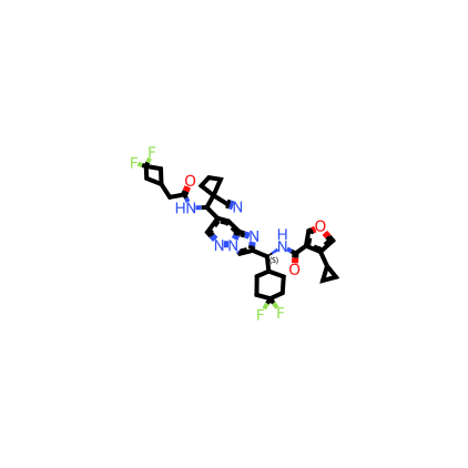 N#CC1(C(NC(=O)CC2CC(F)(F)C2)c2cnn3cc([C@@H](NC(=O)c4cocc4C4CC4)C4CCC(F)(F)CC4)nc3c2)CCC1